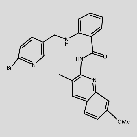 COc1ccc2cc(C)c(NC(=O)c3ccccc3NCc3ccc(Br)nc3)nc2c1